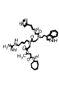 CN(CC(=O)NC1CCCCCC1)C(=O)CN(CCCCNC(=N)N)C(=O)CN(CCc1c[nH]c2ccccc12)C(=O)CNCCc1c[nH]cn1